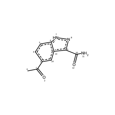 CC(=O)c1ccc2[nH]nc(C(N)=O)c2c1